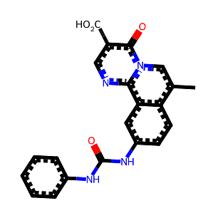 Cc1cn2c(=O)c(C(=O)O)cnc2c2cc(NC(=O)Nc3ccccc3)ccc12